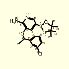 CC(Oc1cc(B2OC(C)(C)C(C)(C)O2)cnc1N)c1cccc(Cl)c1